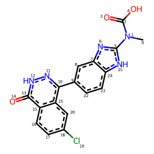 CN(C(=O)O)c1nc2cc(-c3n[nH]c(=O)c4ccc(Cl)cc34)ccc2[nH]1